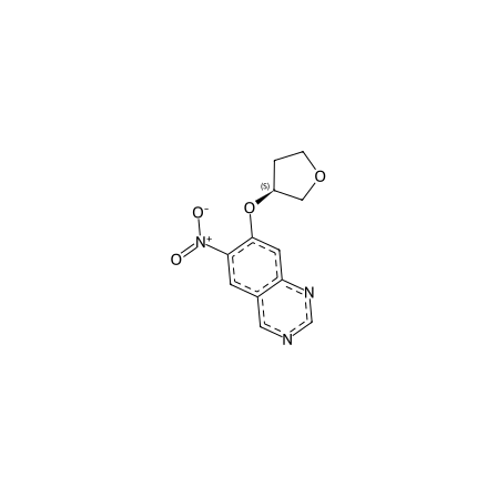 O=[N+]([O-])c1cc2cncnc2cc1O[C@H]1CCOC1